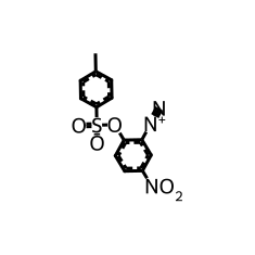 Cc1ccc(S(=O)(=O)Oc2ccc([N+](=O)[O-])cc2[N+]#N)cc1